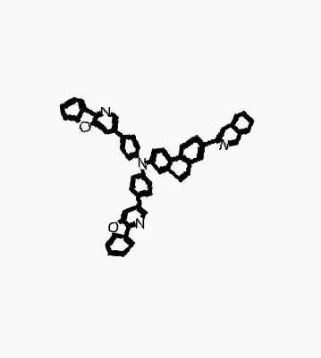 c1ccc2cc(-c3ccc4c(ccc5cc(N(c6ccc(-c7cnc8c(c7)oc7ccccc78)cc6)c6ccc(-c7cnc8c(c7)oc7ccccc78)cc6)ccc54)c3)ncc2c1